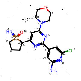 C[C@@H]1COCCN1c1cc([C@H]2CCCS2(=N)=O)nc(-c2cc(N)nc(Cl)c2)n1